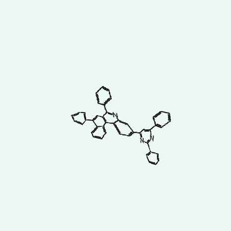 c1ccc(-c2cc(-c3ccc4c(c3)nc(-c3ccccc3)c3cc(-c5ccccc5)c5ccccc5c34)nc(-c3ccccc3)n2)cc1